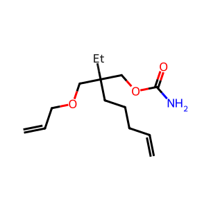 C=CCCCC(CC)(COCC=C)COC(N)=O